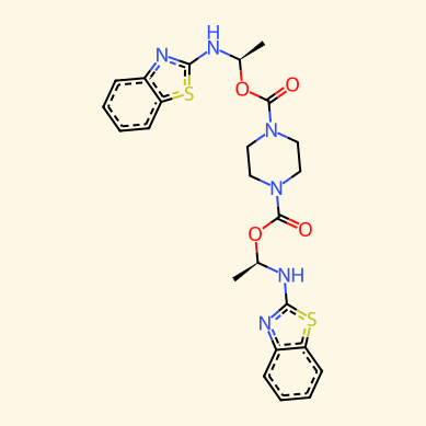 C[C@H](Nc1nc2ccccc2s1)OC(=O)N1CCN(C(=O)O[C@H](C)Nc2nc3ccccc3s2)CC1